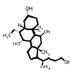 CC[C@H]1[C@@H](O)C2C3CCC([C@H](C)CCCO)[C@@]3(C)C[C@H](O)C2[C@@]2(C)CC[C@@H](O)C[C@@H]12